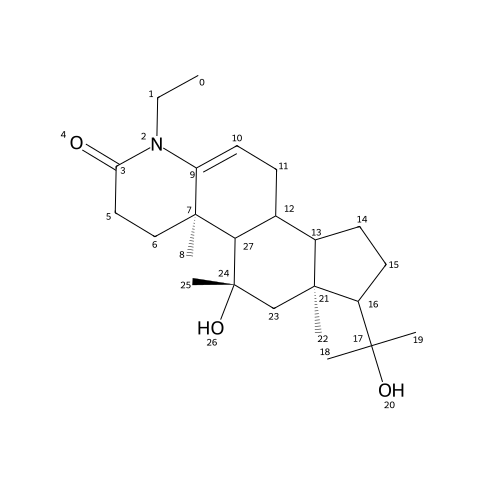 CCN1C(=O)CC[C@@]2(C)C1=CCC1C3CCC(C(C)(C)O)[C@@]3(C)C[C@](C)(O)C12